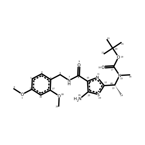 COc1ccc(CNC(=O)c2nc([C@@H](C)N(C)C(=O)OC(C)(C)C)sc2N)c(OC)c1